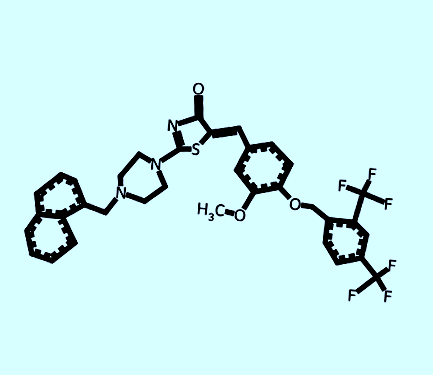 COc1cc(C=C2SC(N3CCN(Cc4cccc5ccccc45)CC3)=NC2=O)ccc1OCc1ccc(C(F)(F)F)cc1C(F)(F)F